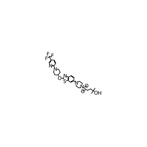 CC(C)(O)CCS(=O)(=O)N1CCN(c2ccc3nc(OC4CCN(c5ccc(C(F)(F)F)cn5)CC4)sc3c2)CC1